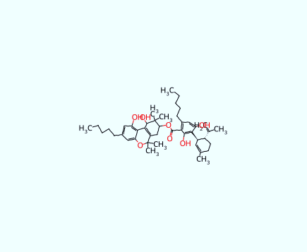 C=C(C)[C@@H]1CCC(C)=C[C@H]1c1c(O)cc(CCCCC)c(C(=O)OC2CC3=C(c4c(O)cc(CCCCC)cc4OC3(C)C)C(O)C2(C)C)c1O